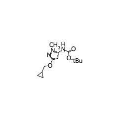 Cn1nc(OCC2CC2)cc1NC(=O)OC(C)(C)C